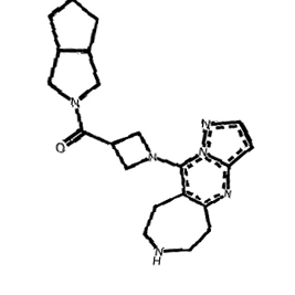 O=C(C1CN(c2c3c(nc4ccnn24)CCNCC3)C1)N1CC2CCCC2C1